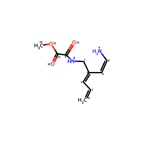 C=C/C=C(\C=C/N)CNC(=O)C(=O)OC